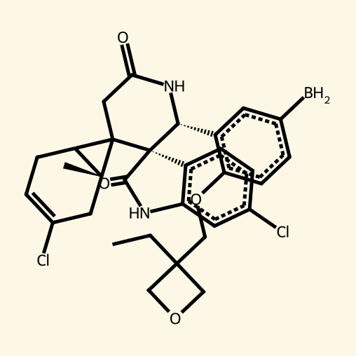 Bc1ccc(OCC2(CC)COC2)c([C@H]2NC(=O)CC3(C4CC=C(Cl)C[C@]43C)[C@]23C(=O)Nc2cc(Cl)ccc23)c1